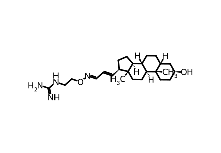 C[C@]12CC[C@H](O)C[C@H]1CC[C@@H]1[C@@H]2CC[C@]2(C)[C@@H](/C=C/C=N/OCCNC(=N)N)CC[C@@H]12